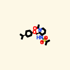 CC(=O)N1CCC[C@H](NS(=O)(=O)C(C)C)[C@@H]1CO[C@H]1CC[C@@H](C(C)C)CC1